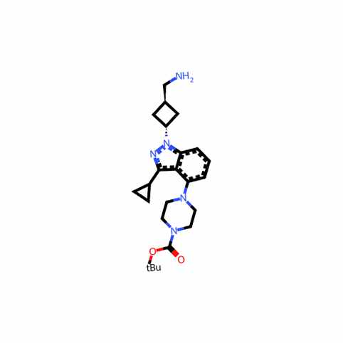 CC(C)(C)OC(=O)N1CCN(c2cccc3c2c(C2CC2)nn3[C@H]2C[C@H](CN)C2)CC1